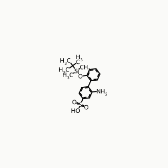 CC(C)(C)[Si](C)(C)Oc1ccccc1-c1ccc(S(=O)(=O)O)cc1N